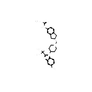 COC(=O)Nc1ccc2c(c1)C[C@H](CN1CCC(n3c(C(C)(C)O)nc4cc(C)ccc43)CC1)C2